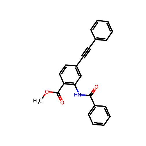 COC(=O)c1ccc(C#Cc2ccccc2)cc1NC(=O)c1ccccc1